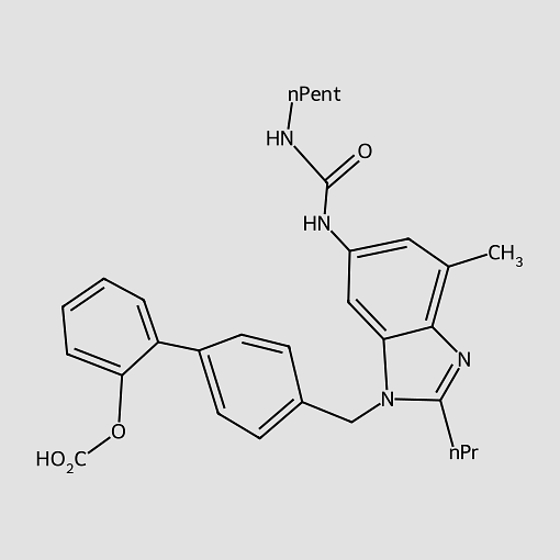 CCCCCNC(=O)Nc1cc(C)c2nc(CCC)n(Cc3ccc(-c4ccccc4OC(=O)O)cc3)c2c1